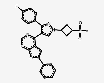 CS(=O)(=O)C1CC(n2cc(-c3ncnc4oc(-c5ccccc5)cc34)c(-c3ccc(F)cc3)n2)C1